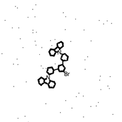 Brc1cc(-c2cccc(-n3c4ccccc4c4ccccc43)c2)cc(-c2cccc(-n3c4ccccc4c4ccccc43)c2)c1